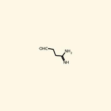 N=C(N)CC[C]=O